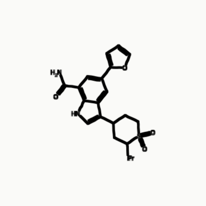 CC(C)C1CC(c2c[nH]c3c(C(N)=O)cc(-c4ccco4)cc23)CCS1(=O)=O